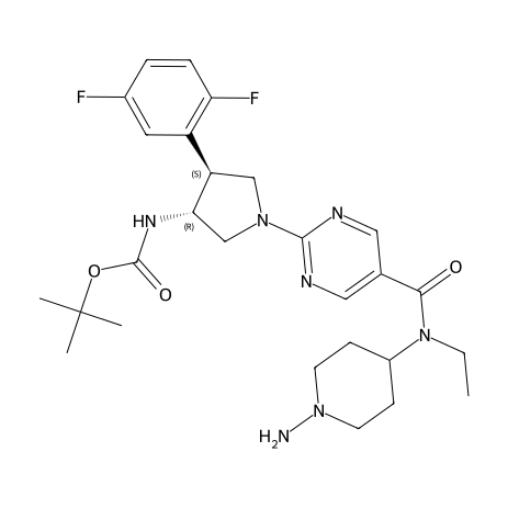 CCN(C(=O)c1cnc(N2C[C@H](NC(=O)OC(C)(C)C)[C@@H](c3cc(F)ccc3F)C2)nc1)C1CCN(N)CC1